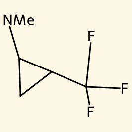 CNC1CC1C(F)(F)F